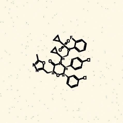 Cc1nnc(C[C@H]2O[C@@H](c3cccc(Cl)c3)[C@@H](c3ccc(Cl)cc3)N([C@@H](CN(c3ccccc3F)S(=O)(=O)C3CC3)C3CC3)C2=O)o1